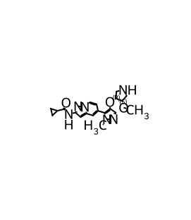 CO[C@H]1CNC[C@H]1Oc1cnn(C)c1-c1ccn2nc(NC(=O)C3CC3)cc2c1